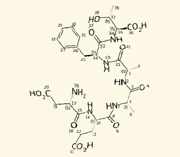 C[C@H](NC(=O)[C@H](C)NC(=O)[C@H](CCC(=O)O)NC(=O)[C@@H](N)CC(=O)O)C(=O)N[C@@H](Cc1ccccc1)C(=O)N[C@H](C(=O)O)[C@@H](C)O